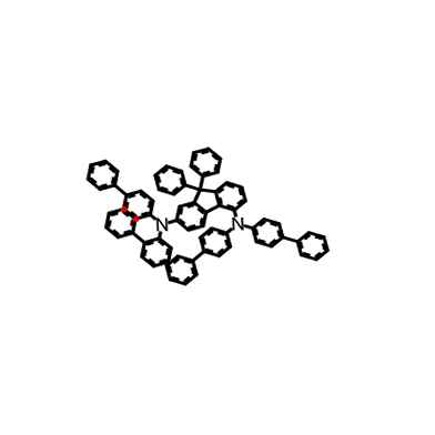 c1ccc(-c2ccc(N(c3ccc4c(c3)C(c3ccccc3)(c3ccccc3)c3cccc(N(c5ccc(-c6ccccc6)cc5)c5ccc(-c6ccccc6)cc5)c3-4)c3ccccc3-c3ccccc3)cc2)cc1